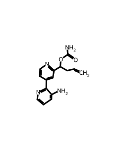 C=CCC(OC(N)=O)c1cc(-c2ncccc2N)ccn1